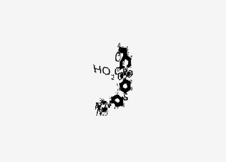 O=C(O)C1c2occc2CCN1S(=O)(=O)c1ccc(Sc2ccc(-n3cnnc3)cc2)cc1